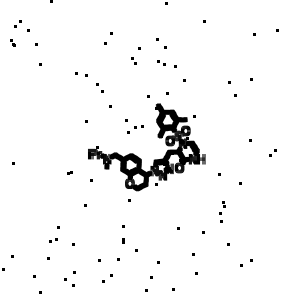 Cc1cc(C)c(S(=O)(=O)N2C=CNC(=O)C2Cc2cn(C3CCOc4cc(CN(C)C(C)C)ccc43)nn2)c(C)c1